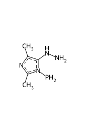 Cc1nc(C)n(P)c1NN